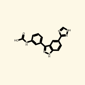 O=C(O)Nc1cccc(-c2n[nH]c3ccc(-c4nc[nH]n4)cc23)c1